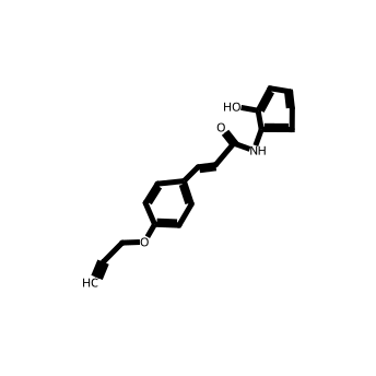 C#CCOc1ccc(/C=C/C(=O)Nc2ccccc2O)cc1